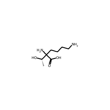 C[C@H](O)C(N)(CCCCN)C(=O)O